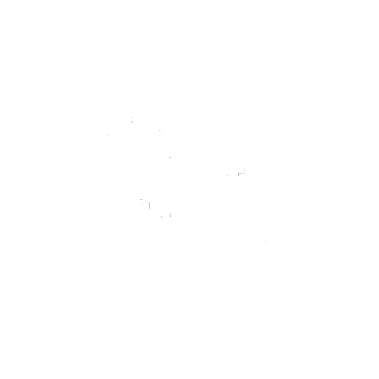 O=C(Oc1ccccc1Br)c1ccccc1O